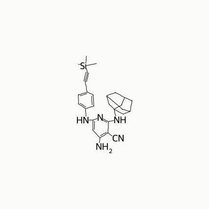 C[Si](C)(C)C#Cc1ccc(Nc2cc(N)c(C#N)c(NC34CC5CC(CC(C5)C3)C4)n2)cc1